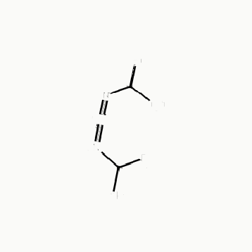 CCCC(CC)N=C=NC(CC)CCC